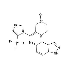 [O-][S+]1CCc2c(c(-c3c[nH]nc3C(F)(F)F)nc3c2C2C=NNC2C=C3)C1